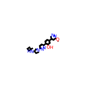 COc1cc(-c2ccc(-c3ccc(N4CC[C@H](NC5(C)CCC5)C4)nn3)c(O)c2)cnn1